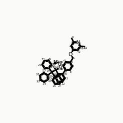 Cc1cc(OCc2ccc(-c3ccccc3C3(C(c4ccccc4)(c4ccccc4)c4ccccc4)N=NN=N3)cc2)cc(C)n1